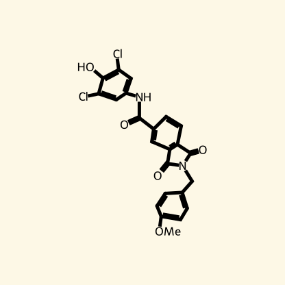 COc1ccc(CN2C(=O)c3ccc(C(=O)Nc4cc(Cl)c(O)c(Cl)c4)cc3C2=O)cc1